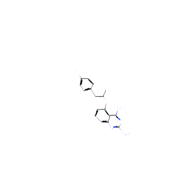 CC(Cc1ccc(F)cc1)Oc1cccc2nc(N)nc(N)c12